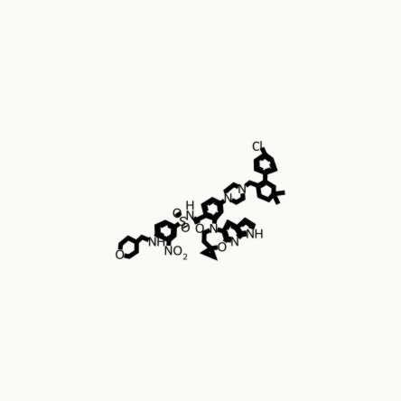 CC1(C)CCC(CN2CCN(c3ccc(C(=O)NS(=O)(=O)c4ccc(NCC5CCOCC5)c([N+](=O)[O-])c4)c(N4CCC5(CC5)Oc5nc6[nH]ccc6cc54)c3)CC2)=C(c2ccc(Cl)cc2)C1